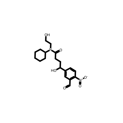 O=Cc1cc(C(O)CCC(=O)N(CCO)C2CCCCC2)ccc1[N+](=O)[O-]